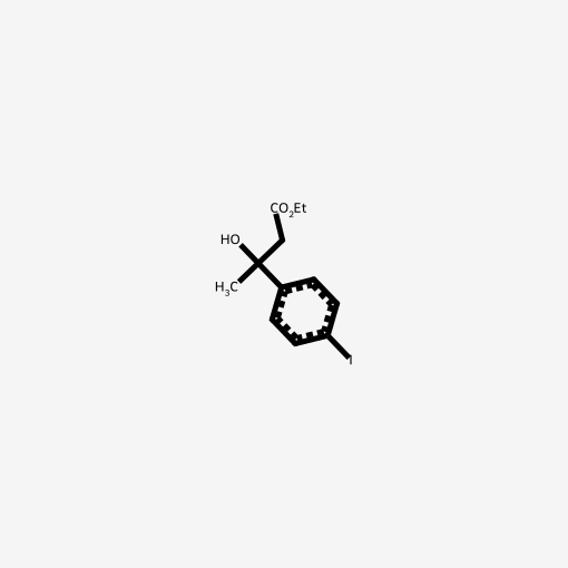 CCOC(=O)CC(C)(O)c1ccc(I)cc1